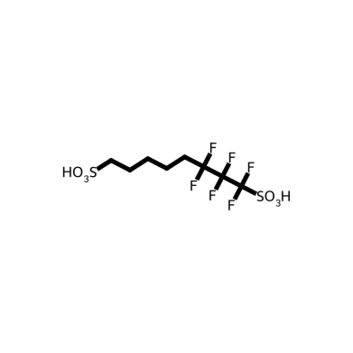 O=S(=O)(O)CCCCCC(F)(F)C(F)(F)C(F)(F)S(=O)(=O)O